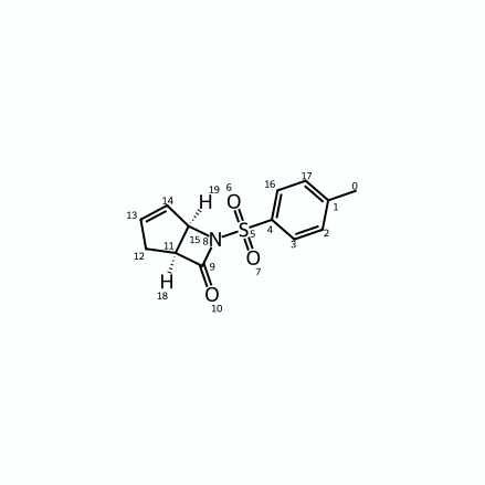 Cc1ccc(S(=O)(=O)N2C(=O)[C@H]3CC=C[C@H]32)cc1